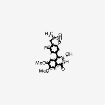 COc1cc2c(-c3ccc(CN(C)[SH](=O)=O)c(F)c3)n[nH]c(=O)c2cc1OC.Cl